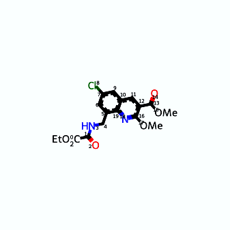 CCOC(=O)C(=O)NCc1cc(Cl)cc2cc(C(=O)OC)c(OC)nc12